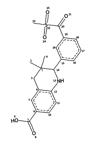 CC1(C)Cc2cc(C(=O)O)ccc2NC1c1cccc(C(=O)S(C)(=O)=O)c1